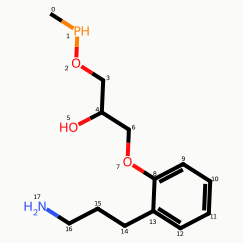 CPOCC(O)COc1ccccc1CCCN